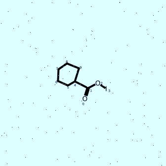 O=C(OI)C1CCCCC1